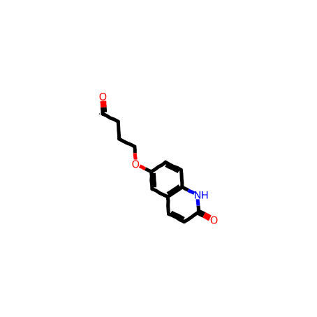 O=[C]CCCOc1ccc2[nH]c(=O)ccc2c1